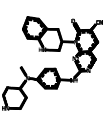 CN(c1ccc(Nc2ncc3cc(C#N)c(=O)n(C4CNc5ccccc5C4)c3n2)cc1)C1CCNCC1